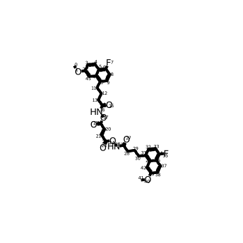 COc1ccc2c(F)ccc(CCCC(=O)NOC(=O)/C=C/C(=O)ONC(=O)CCCc3ccc(F)c4ccc(OC)cc34)c2c1